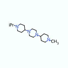 CC(C)N1CCC(N2CCN(C3CCN(C)CC3)CC2)CC1